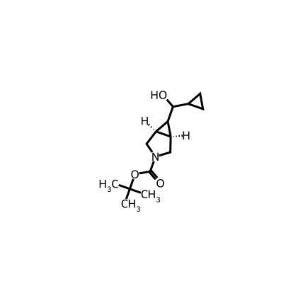 CC(C)(C)OC(=O)N1C[C@@H]2C(C(O)C3CC3)[C@@H]2C1